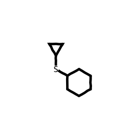 C1CCC(SC2CC2)CC1